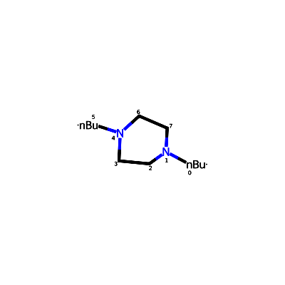 [CH2]CC[CH]N1CCN([CH]CC[CH2])CC1